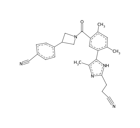 Cc1cc(C)c(-c2[nH]c(CCC#N)nc2C)cc1C(=O)N1CC(c2ccc(C#N)cc2)C1